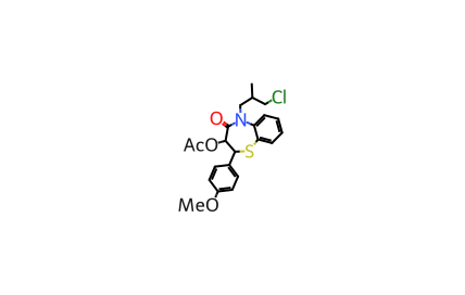 COc1ccc(C2Sc3ccccc3N(CC(C)CCl)C(=O)C2OC(C)=O)cc1